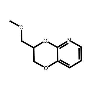 COCC1COc2cccnc2O1